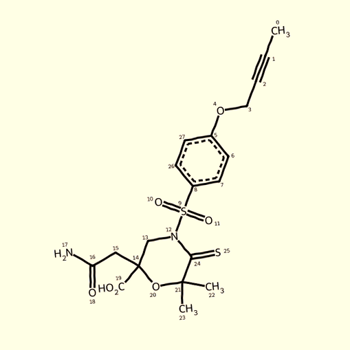 CC#CCOc1ccc(S(=O)(=O)N2CC(CC(N)=O)(C(=O)O)OC(C)(C)C2=S)cc1